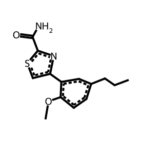 CCCc1ccc(OC)c(-c2csc(C(N)=O)n2)c1